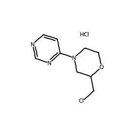 Cl.ClCC1CN(c2ccncn2)CCO1